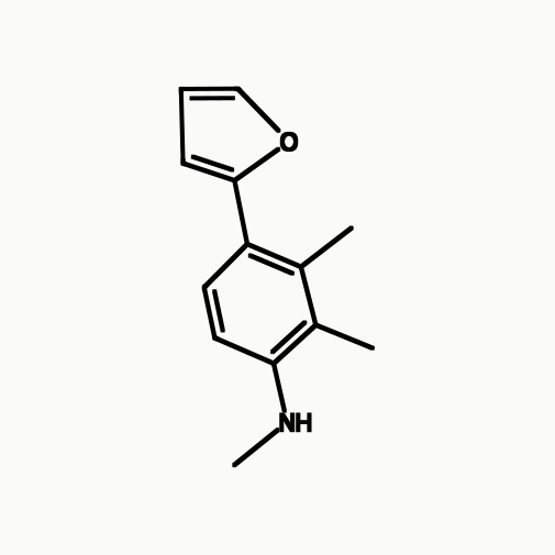 CNc1ccc(-c2ccco2)c(C)c1C